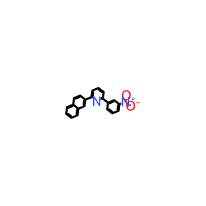 O=[N+]([O-])c1cccc(-c2cccc(-c3ccc4ccccc4c3)n2)c1